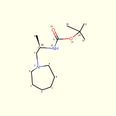 C[C@H](CN1CCCCCC1)NC(=O)OC(C)(C)C